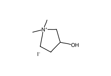 C[N+]1(C)CCC(O)C1.[I-]